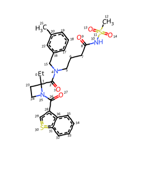 CCC1(C(=O)N(CCCC(=O)NS(C)(=O)=O)Cc2cccc(C)c2)CCN1C(=O)c1csc2ccccc12